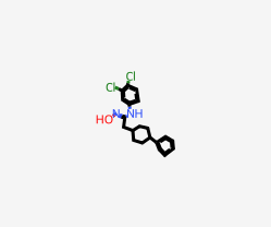 O/N=C(\CC1CCC(c2ccccc2)CC1)Nc1ccc(Cl)c(Cl)c1